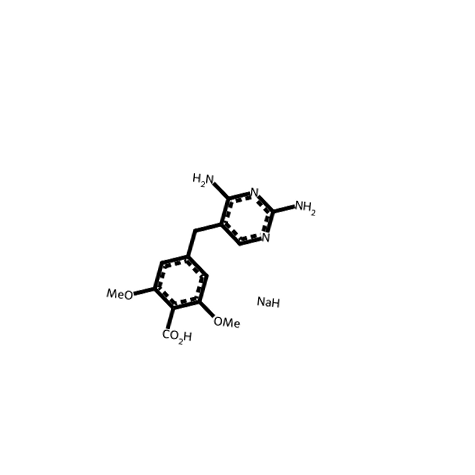 COc1cc(Cc2cnc(N)nc2N)cc(OC)c1C(=O)O.[NaH]